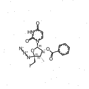 C[C@H]1[C@@H](OC(=O)c2ccccc2)[C@H](n2ccc(=O)[nH]c2=O)O[C@@]1(CI)N=[N+]=[N-]